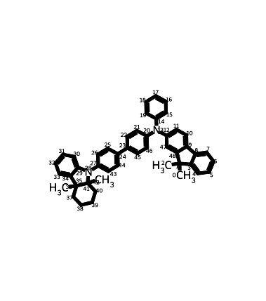 CC1(C)c2ccccc2-c2ccc(N(c3ccccc3)c3ccc(-c4ccc(N5c6ccccc6C6(C)CCCCC56C)cc4)cc3)cc21